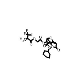 C=C(C(=O)OCC(=O)OC1C2OC(=O)C3C2OC1C3C(=O)OC1CCCCC1)C(F)(F)F